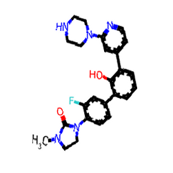 CN1CCN(c2ccc(-c3cccc(-c4ccnc(N5CCNCC5)c4)c3O)cc2F)C1=O